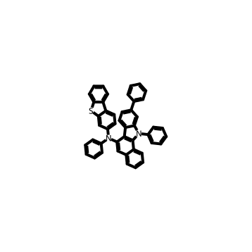 c1ccc(-c2ccc3c4c(N(c5ccccc5)c5ccc6c(c5)sc5ccccc56)cc5ccccc5c4n(-c4ccccc4)c3c2)cc1